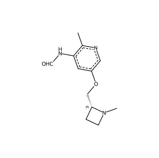 Cc1ncc(OC[C@H]2CCN2C)cc1NC=O